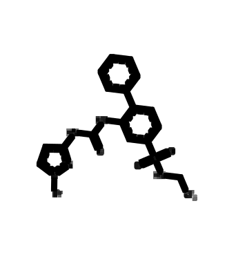 CC(C)n1ccc(NC(=O)Nc2cc(S(=O)(=O)NCC(F)(F)F)ccc2-c2ccccc2)n1